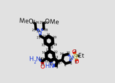 CCS(=O)(=O)N1CCC(c2c[nH]c3c(C(N)=O)cc(-c4cccc(CN(CCOC)CCOC)c4)cc23)CC1